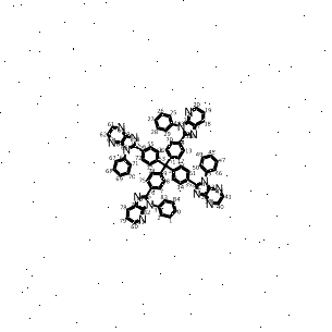 c1ccc(-n2c(-c3ccc(C(c4ccc(-c5nc6cccnc6n5-c5ccccc5)cc4)(c4ccc(-c5nc6nccnc6n5-c5ccccc5)cc4)c4ccc(-c5nc6nccnc6n5-c5ccccc5)cc4)cc3)nc3cccnc32)cc1